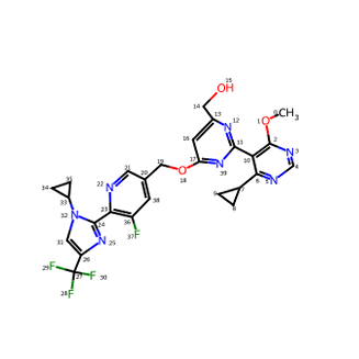 COc1ncnc(C2CC2)c1-c1nc(CO)cc(OCc2cnc(-c3nc(C(F)(F)F)cn3C3CC3)c(F)c2)n1